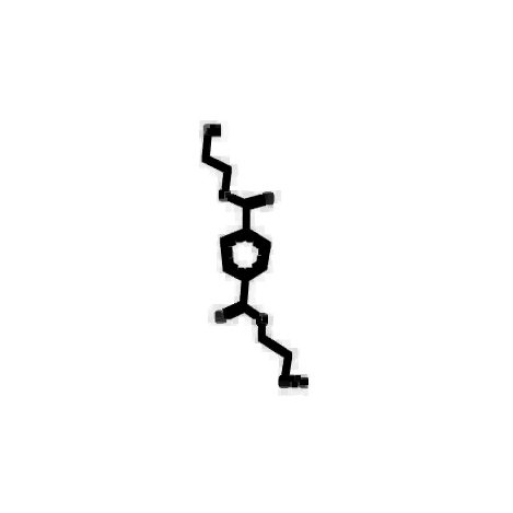 COCCOC(=O)c1ccc(C(=O)OCCS)cc1